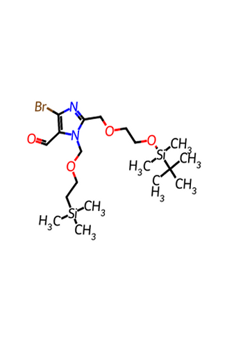 CC(C)(C)[Si](C)(C)OCCOCc1nc(Br)c(C=O)n1COCC[Si](C)(C)C